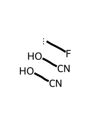 N#CO.N#CO.[C]F